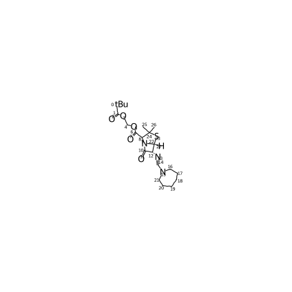 CC(C)(C)C(=O)OCOC(=O)C1N2C(=O)[C@@H](/N=C/N3CCCCCC3)[C@H]2SC1(C)C